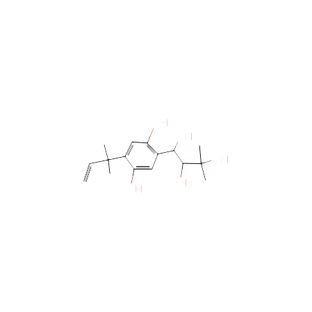 C=CC(C)(C)c1cc(O)c(C(O)C(O)C(C)(C)O)cc1O